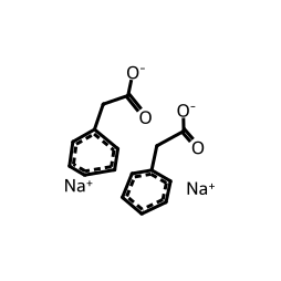 O=C([O-])Cc1ccccc1.O=C([O-])Cc1ccccc1.[Na+].[Na+]